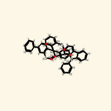 c1ccc(-c2ccc3c(c2)Sc2cccc(-c4cccc5c6ccccc6n(-c6ccccc6)c45)c2C32c3ccccc3Sc3ccccc32)cc1